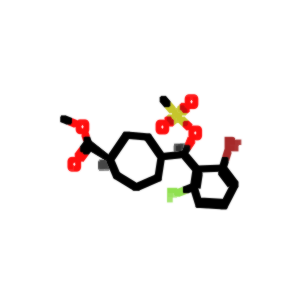 COC(=O)[C@@H]1CCCC([C@@H](OS(C)(=O)=O)c2c(F)cccc2Br)CC1